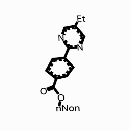 CCCCCCCCCOC(=O)c1ccc(-c2ncc(CC)cn2)cc1